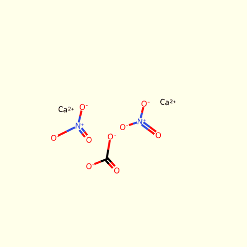 O=C([O-])[O-].O=[N+]([O-])[O-].O=[N+]([O-])[O-].[Ca+2].[Ca+2]